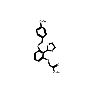 COC(=O)CSc1cccc(OCc2ccc(OC)cc2)c1C1OCCO1